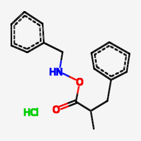 CC(Cc1ccccc1)C(=O)ONCc1ccccc1.Cl